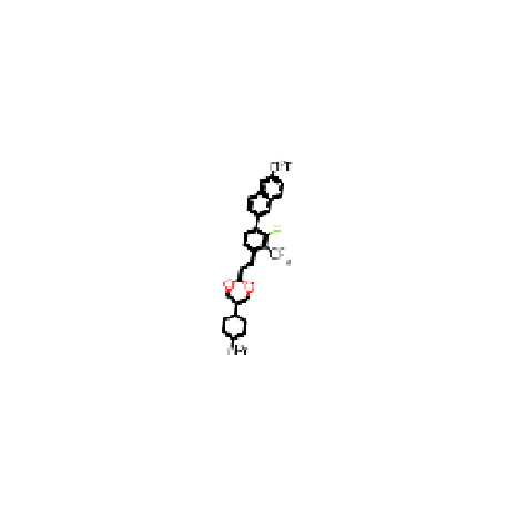 CCCc1ccc2cc(-c3ccc(CCC4OCC(C5CCC(CCC)CC5)CO4)c(C(F)(F)F)c3F)ccc2c1